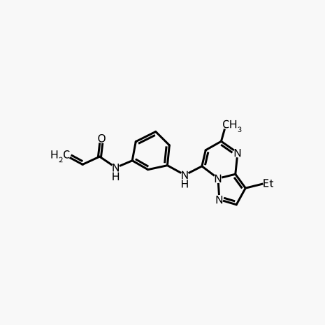 C=CC(=O)Nc1cccc(Nc2cc(C)nc3c(CC)cnn23)c1